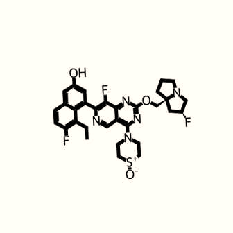 CCc1c(F)ccc2cc(O)cc(-c3ncc4c(N5CC[S+]([O-])CC5)nc(OC[C@@]56CCCN5C[C@H](F)C6)nc4c3F)c12